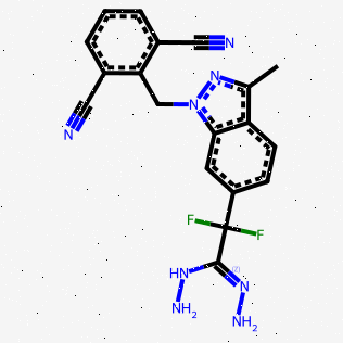 Cc1nn(Cc2c(C#N)cccc2C#N)c2cc(C(F)(F)/C(=N/N)NN)ccc12